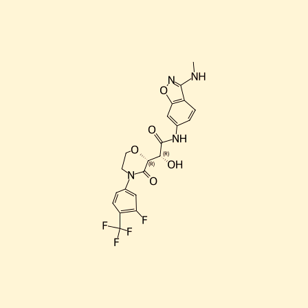 CNc1noc2cc(NC(=O)[C@H](O)[C@H]3OCCN(c4ccc(C(F)(F)F)c(F)c4)C3=O)ccc12